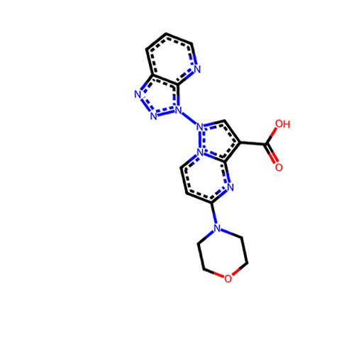 O=C(O)c1cn(-n2nnc3cccnc32)[n+]2ccc(N3CCOCC3)nc12